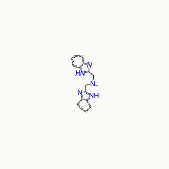 CN(Cc1nc2ccccc2[nH]1)Cc1nc2ccccc2[nH]1